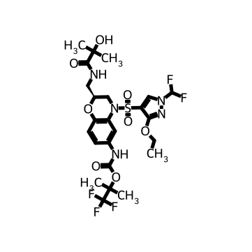 CCOc1nn(C(F)F)cc1S(=O)(=O)N1C[C@H](CNC(=O)C(C)(C)O)Oc2ccc(NC(=O)OC(C)(C)C(F)(F)F)cc21